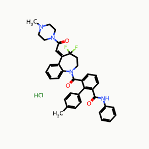 Cc1ccc(-c2c(C(=O)Nc3ccccc3)cccc2C(=O)N2CCC(F)(F)C(=CC(=O)N3CCN(C)CC3)c3ccccc32)cc1.Cl